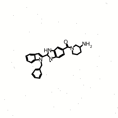 CN1c2ccc(C(=O)N3CCCC(N)C3)cc2NC1c1cc2ccccc2n1Cc1ccccc1